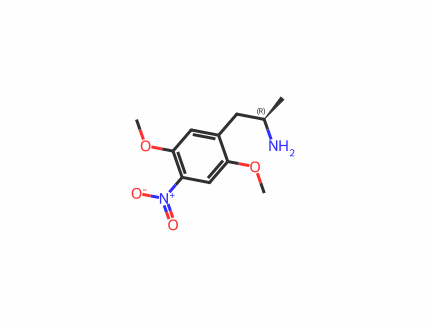 COc1cc([N+](=O)[O-])c(OC)cc1C[C@@H](C)N